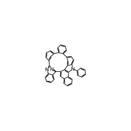 c1ccc(-n2c3ccc4cc3c3c(cc5ccccc5c32)c2nc(nc3ccccc32)c2cccc(c2)c2ccccc42)cc1